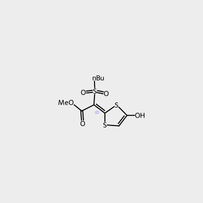 CCCCS(=O)(=O)/C(C(=O)OC)=C1/SC=C(O)S1